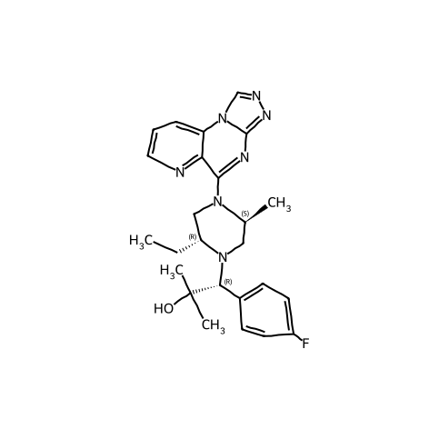 CC[C@@H]1CN(c2nc3nncn3c3cccnc23)[C@@H](C)CN1[C@H](c1ccc(F)cc1)C(C)(C)O